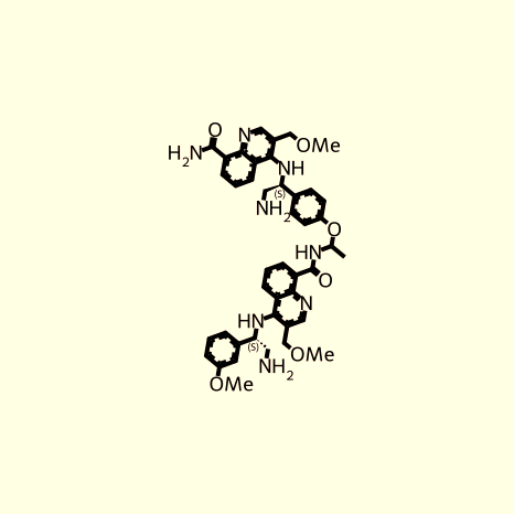 COCc1cnc2c(C(N)=O)cccc2c1N[C@H](CN)c1ccc(OC(C)NC(=O)c2cccc3c(N[C@H](CN)c4cccc(OC)c4)c(COC)cnc23)cc1